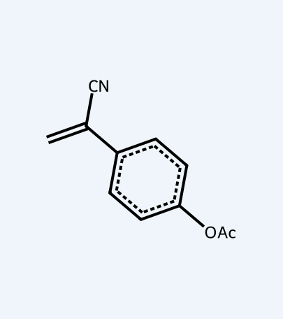 C=C(C#N)c1ccc(OC(C)=O)cc1